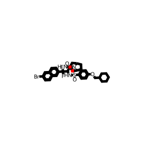 NC1CC2CCC(C1)N2C(=O)C(NS(=O)(=O)c1ccc(OCC2CCCCC2)cc1)C(F)(F)c1ccc2cc(Br)ccc2c1